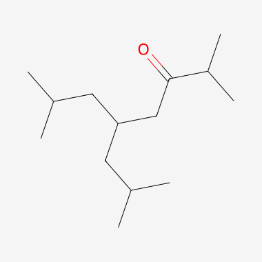 CC(C)CC(CC(=O)C(C)C)CC(C)C